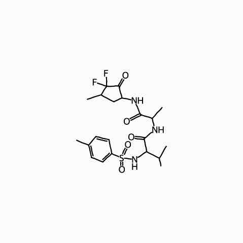 Cc1ccc(S(=O)(=O)NC(C(=O)NC(C)C(=O)NC2CC(C)C(F)(F)C2=O)C(C)C)cc1